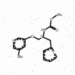 CC(C)(C)OC(=O)N[C@H](COc1cncc(C(C)(C)C)c1)Cc1ccccc1